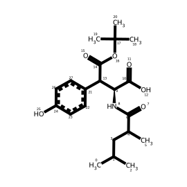 CC(C)CC(C)C(=O)N[C@H](C(=O)O)C(C(=O)OC(C)(C)C)c1ccc(O)cc1